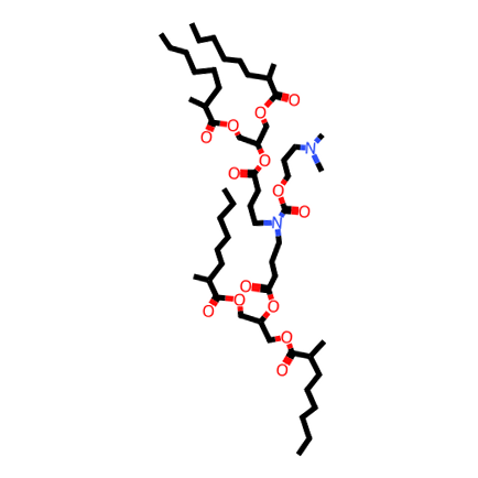 CCCCCCC(C)C(=O)OCC(COC(=O)C(C)CCCCCC)OC(=O)CCCN(CCCC(=O)OC(COC(=O)C(C)CCCCCC)COC(=O)C(C)CCCCCC)C(=O)OCCCN(C)C